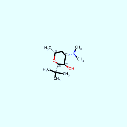 C[C@@H]1C[C@H](N(C)C)[C@@H](O)[C@H](C(C)(C)C)O1